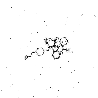 COCCN1CCC(CC(C#N)NC(=O)[C@@H]2CCCC[C@@]2(C(N)=O)c2c(C(=O)O)n(C)c3ccccc23)CC1